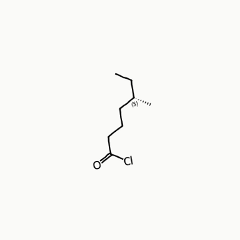 CC[C@H](C)CCCC(=O)Cl